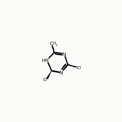 CC1=NC(Cl)=N[C@@H](Cl)N1